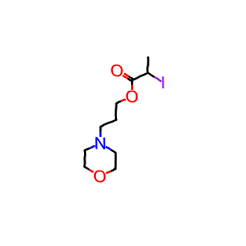 CC(I)C(=O)OCCCN1CCOCC1